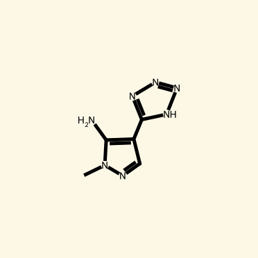 Cn1ncc(-c2nnn[nH]2)c1N